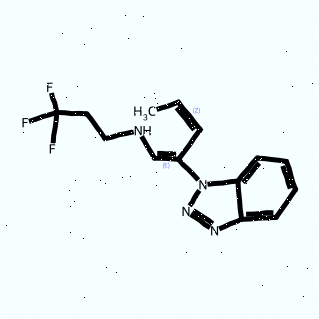 C/C=C\C(=C/NCCC(F)(F)F)n1nnc2ccccc21